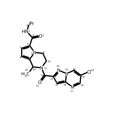 CC(C)NC(=O)c1ccc2n1CCN(C(=O)c1cc3ncc(Cl)cn3n1)C2C